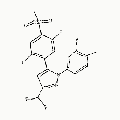 Cc1ccc(-n2nc(C(F)F)cc2-c2cc(F)c(S(C)(=O)=O)cc2F)cc1F